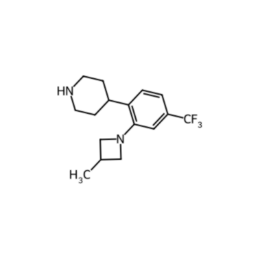 CC1CN(c2cc(C(F)(F)F)ccc2C2CCNCC2)C1